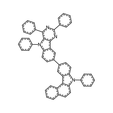 c1ccc(-c2nc(-c3ccccc3)c3c(n2)c2cc(-c4ccc5c(c4)c4c6ccccc6ccc4n5-c4ccccc4)ccc2n3-c2ccccc2)cc1